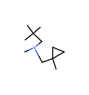 CN(CC(C)(C)C)CC1(C)CC1